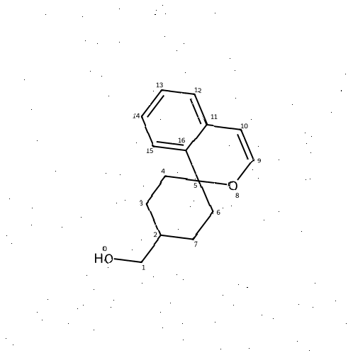 OCC1CCC2(CC1)OC=Cc1ccccc12